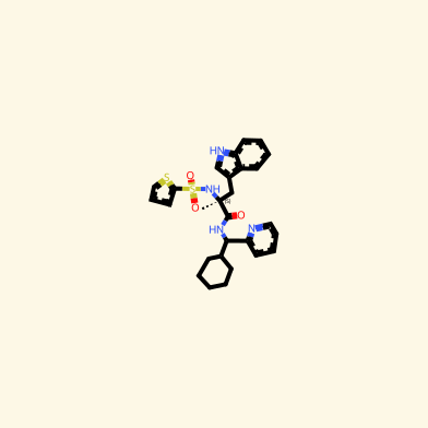 C[C@@](Cc1c[nH]c2ccccc12)(NS(=O)(=O)c1cccs1)C(=O)NC(c1ccccn1)C1CCCCC1